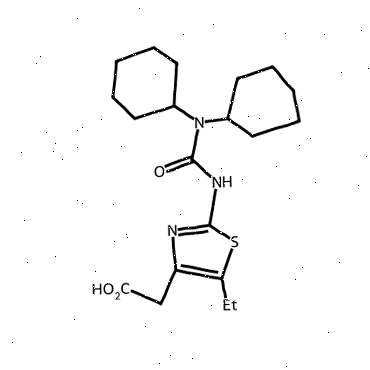 CCc1sc(NC(=O)N(C2CCCCC2)C2CCCCC2)nc1CC(=O)O